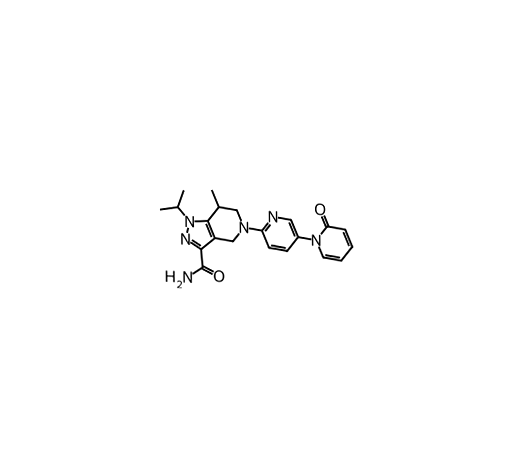 CC1CN(c2ccc(-n3ccccc3=O)cn2)Cc2c(C(N)=O)nn(C(C)C)c21